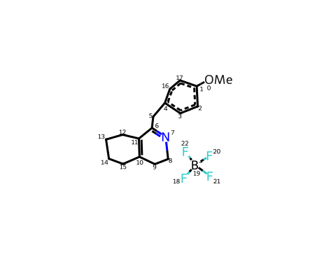 COc1ccc(CC2=NCCC3=C2CCCC3)cc1.F[B-](F)(F)F